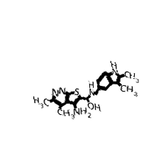 Cc1nnc2sc(C(O)NCc3ccc4[nH]c(C)c(C)c4c3)c(N)c2c1C